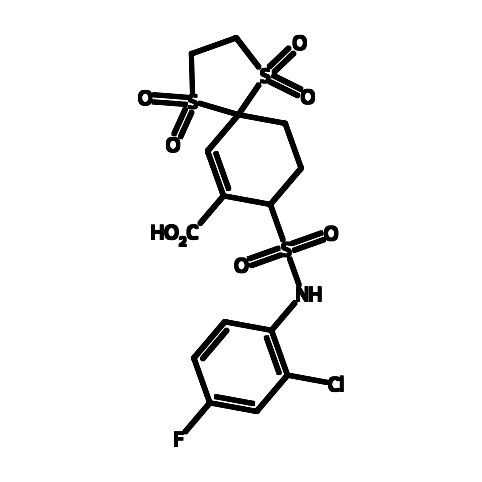 O=C(O)C1=CC2(CCC1S(=O)(=O)Nc1ccc(F)cc1Cl)S(=O)(=O)CCS2(=O)=O